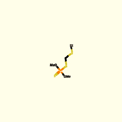 CCSCSP(=S)(OC)OC